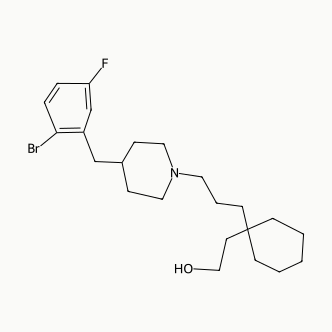 OCCC1(CCCN2CCC(Cc3cc(F)ccc3Br)CC2)CCCCC1